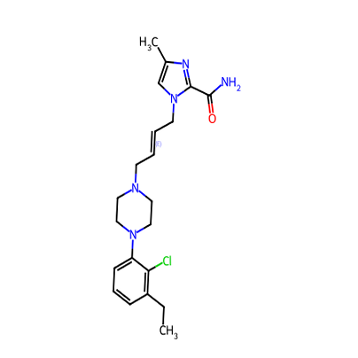 CCc1cccc(N2CCN(C/C=C/Cn3cc(C)nc3C(N)=O)CC2)c1Cl